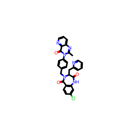 Cc1nc2cccnc2c(=O)n1-c1ccc(CN2C(=O)c3ccc(Cl)cc3NC(=O)C2Cc2ccccn2)cc1